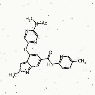 CC(=O)N(C)c1cnc(Oc2cc(C(=O)Nc3ccc(C)cn3)cc3nn(C)cc23)cn1